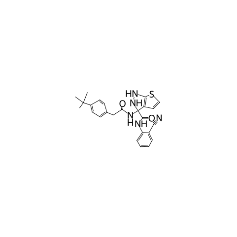 CC(C)(C)c1ccc(CC(=O)NC2(C(=O)Nc3ccccc3C#N)NNc3sccc32)cc1